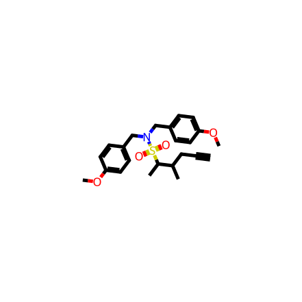 C#CCC(C)C(C)S(=O)(=O)N(Cc1ccc(OC)cc1)Cc1ccc(OC)cc1